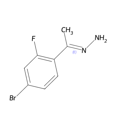 C/C(=N\N)c1ccc(Br)cc1F